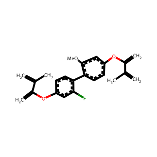 C=C(C)C(=C)Oc1ccc(-c2ccc(OC(=C)C(=C)C)cc2OC)c(F)c1